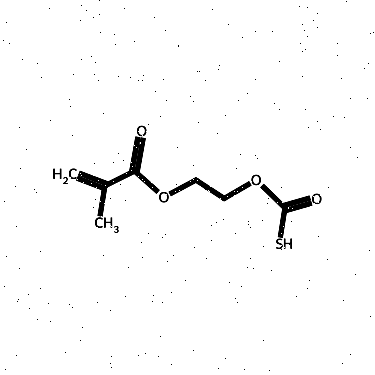 C=C(C)C(=O)OCCOC(=O)S